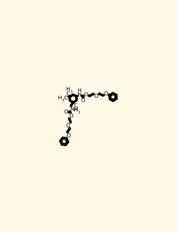 CC1(C)CC(NC(=O)OCCOCCOc2ccccc2)CC(C)(CNC(=O)OCCOCCOc2ccccc2)C1